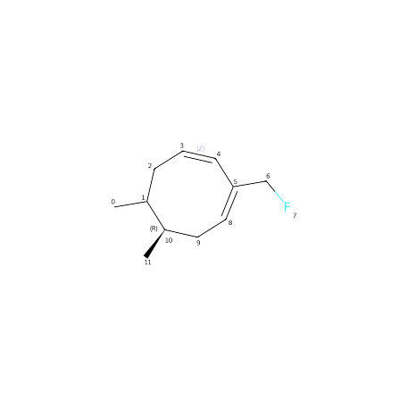 CC1C/C=C\C(CF)=CC[C@H]1C